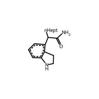 CCCCCCCC(C(N)=O)c1cccc2c1CCN2